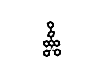 c1ccc(-c2ccc(-c3c4ccccc4c(N(c4ccccc4)c4ccccc4)c4ccccc34)cc2)cc1